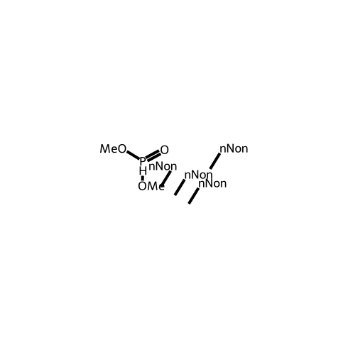 CCCCCCCCCC.CCCCCCCCCC.CCCCCCCCCC.CCCCCCCCCC.CO[PH](=O)OC